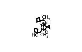 C[C@@H](NC(=O)C1(C(=O)N[C@H](C)C2(O)CCC2)CC1)C1(O)CCC1